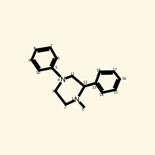 CN1CCN(c2ccccc2)CC1c1ccccc1